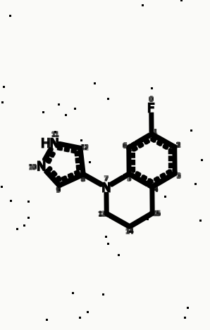 Fc1ccc2c(c1)N(c1cn[nH]c1)CCC2